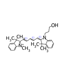 C[N+]1=C(/C=C/C=C/C=C2/N(CCCO)c3ccccc3C2(C)C)C(C)(C)c2ccccc21